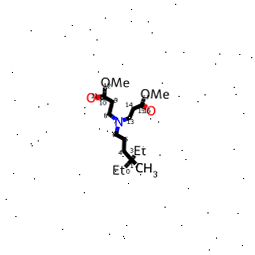 CCC(C)(CC)CCCN(CCC(=O)OC)CCC(=O)OC